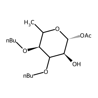 CCCCOC1[C@@H](OCCCC)C(C)O[C@H](OC(C)=O)[C@H]1O